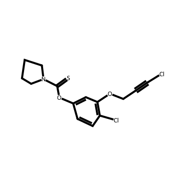 S=C(Oc1ccc(Cl)c(OCC#CCl)c1)N1CCCC1